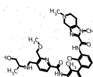 COCc1nc(C(=O)Nc2cccc(-c3cccc(NC(=O)c4nc5c(n4C)CCN(C)C5)c3Cl)c2C)ccc1CN[C@@H](C)CO